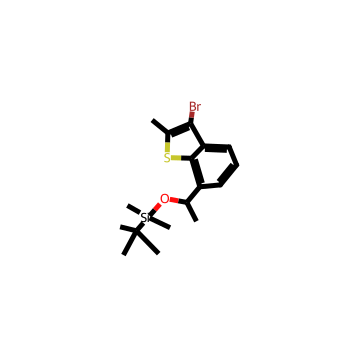 Cc1sc2c(C(C)O[Si](C)(C)C(C)(C)C)cccc2c1Br